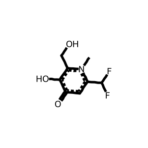 Cn1c(C(F)F)cc(=O)c(O)c1CO